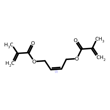 C=C(C)C(=O)OC/C=C\COC(=O)C(=C)C